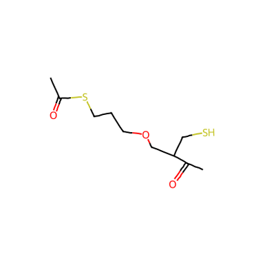 CC(=O)SCCCOCC(CS)C(C)=O